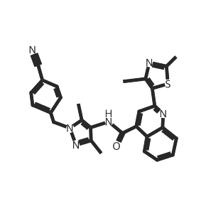 Cc1nc(C)c(-c2cc(C(=O)Nc3c(C)nn(Cc4ccc(C#N)cc4)c3C)c3ccccc3n2)s1